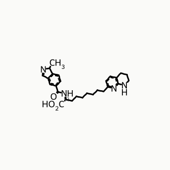 CC1N=Cc2cc(C(=O)N[C@@H](CCCCCCCc3ccc4c(n3)NCCC4)C(=O)O)ccc21